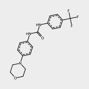 O=C(Nc1ccc(N2CCOCC2)cc1)Nc1ccc(C(F)(F)F)cc1